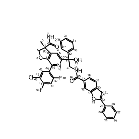 C[C@]1(C(N)=O)COc2c1cc([C@@](O)(CNC(=O)c1ccc3nc(-c4ccccc4)oc3c1)c1ccccc1)nc2-c1cc(Cl)c(F)cc1F